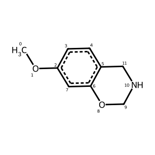 COc1ccc2c(c1)OCNC2